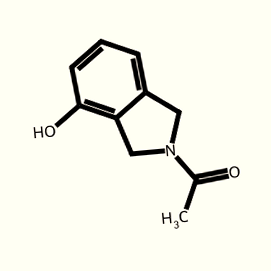 CC(=O)N1Cc2cccc(O)c2C1